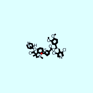 COc1ccc([C@H](Cc2c(Cl)cncc2Cl)OC(=O)c2ccc(CN(C)CC(C)(C(=O)O[C@H]3CN4CCC3CC4)c3ccccc3)s2)cc1OC